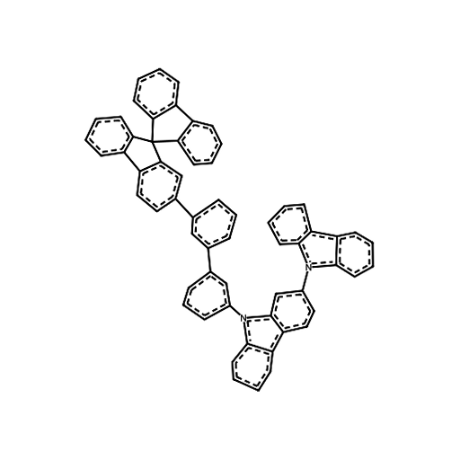 c1cc(-c2cccc(-n3c4ccccc4c4ccc(-n5c6ccccc6c6ccccc65)cc43)c2)cc(-c2ccc3c(c2)C2(c4ccccc4-c4ccccc42)c2ccccc2-3)c1